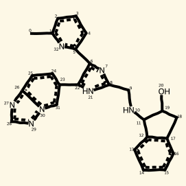 Cc1cccc(-c2nc(CNC3c4ccccc4CC3O)[nH]c2-c2ccc3ncnn3c2)n1